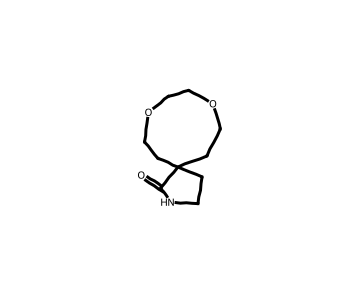 O=C1NCCC12CCOCCOCC2